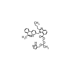 C=C(OCOC(=O)c1cccc2nc(CCCC)n(CC3=CC=C(c4ccccc4C(C)=N)CC3)c12)OCc1ccn[nH]1